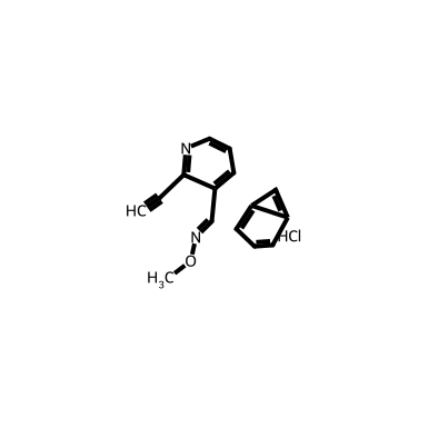 C#Cc1ncccc1C=NOC.Cl.c1cc2cc-2c1